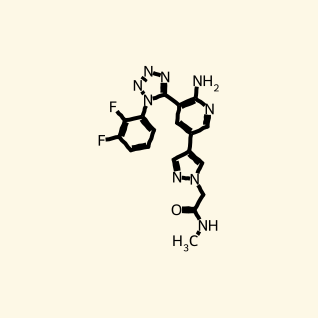 CNC(=O)Cn1cc(-c2cnc(N)c(-c3nnnn3-c3cccc(F)c3F)c2)cn1